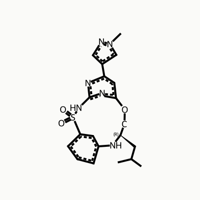 CC(C)C[C@@H]1COc2cc(-c3cnn(C)c3)nc(n2)NS(=O)(=O)c2cccc(c2)N1